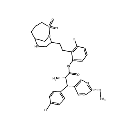 COc1ccc([C@H](c2ccc(Cl)cc2)[C@H](N)C(=O)Nc2cccc(F)c2CCC2CNC3CCCS(=O)(=O)N2C3)cn1